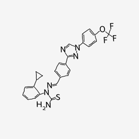 NC(=S)N(/N=C/c1ccc(-c2ncn(-c3ccc(OC(F)(F)F)cc3)n2)cc1)c1ccccc1C1CC1